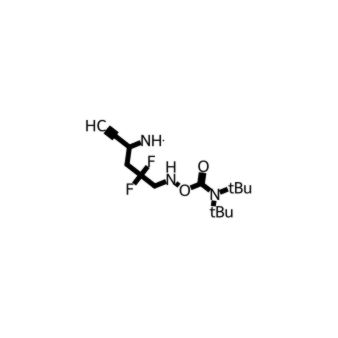 C#CC([NH])CC(F)(F)CNOC(=O)N(C(C)(C)C)C(C)(C)C